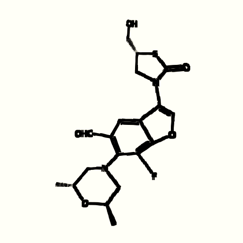 C[C@@H]1CN(c2c(C=O)cc3c(N4C[C@H](CO)SC4=O)coc3c2F)C[C@@H](C)O1